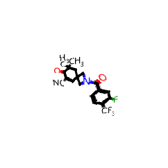 CC1(C)CC2(C=C(C#N)C1=O)CN(C(=O)c1ccc(C(F)(F)F)c(F)c1)C2